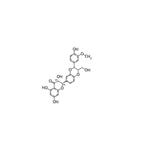 COc1cc(C2Oc3cc([C@H]4Oc5cc(O)cc(O)c5C(=O)[C@@H]4O)ccc3OC2CO)ccc1O